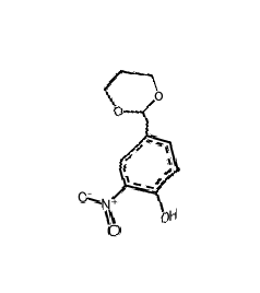 O=[N+]([O-])c1cc(C2OCCCO2)ccc1O